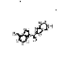 O=C(c1nc2c(s1)CNCC2)n1ccc2c(Br)cccc21